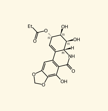 CCC(=O)O[C@H]1C=C2c3cc4c(c(O)c3C(=O)N[C@H]2[C@H](O)[C@@H]1O)OCO4